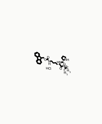 CC(C)NC(=O)[C@H](CCCCNC(=O)OCC1c2ccccc2-c2ccccc21)NC(=O)[C@@H]1CCCN1.Cl